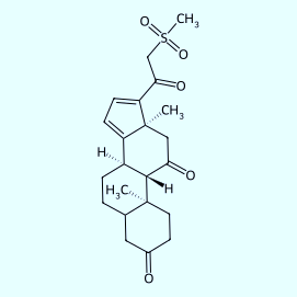 C[C@]12CC(=O)[C@H]3[C@@H](CCC4CC(=O)CC[C@@]43C)C1=CC=C2C(=O)CS(C)(=O)=O